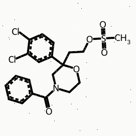 CS(=O)(=O)OCCC1(c2ccc(Cl)c(Cl)c2)CN(C(=O)c2ccccc2)CCO1